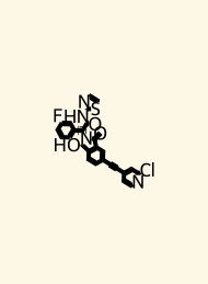 O=C(Nc1nccs1)[C@@H](c1cc(F)ccc1O)N1Cc2ccc(C#Cc3ccnc(Cl)c3)cc2C1=O